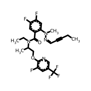 CCC#C/C=N\N(C)c1cc(F)c(F)cc1C(=O)N(CC)C(C)COc1ncc(C(F)(F)F)cc1F